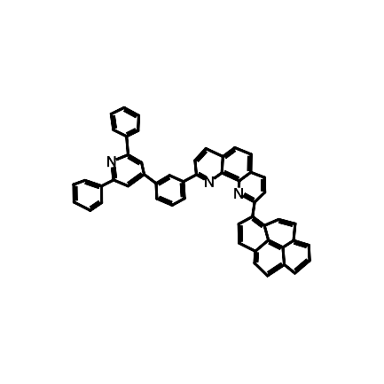 c1ccc(-c2cc(-c3cccc(-c4ccc5ccc6ccc(-c7ccc8ccc9cccc%10ccc7c8c9%10)nc6c5n4)c3)cc(-c3ccccc3)n2)cc1